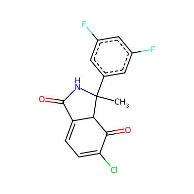 CC1(c2cc(F)cc(F)c2)NC(=O)C2=CC=C(Cl)C(=O)C21